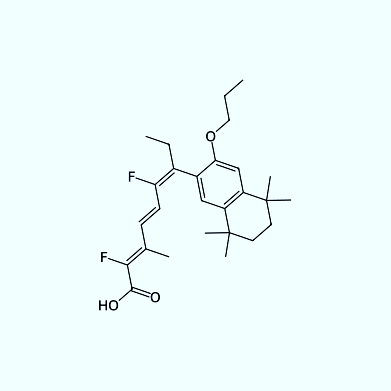 CCCOc1cc2c(cc1\C(CC)=C(F)/C=C/C(C)=C(\F)C(=O)O)C(C)(C)CCC2(C)C